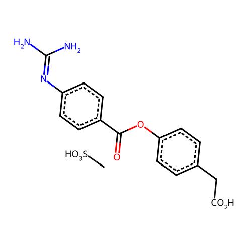 CS(=O)(=O)O.NC(N)=Nc1ccc(C(=O)Oc2ccc(CC(=O)O)cc2)cc1